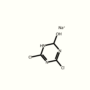 OC1N=C(Cl)N=C(Cl)N1.[Na+]